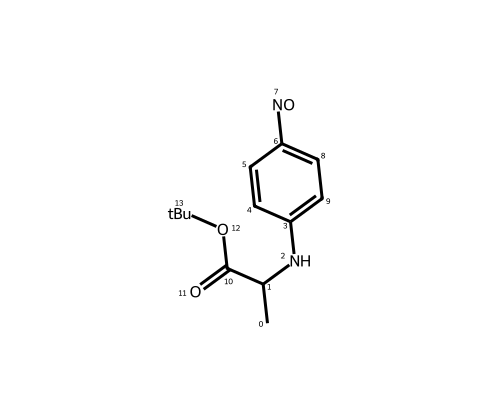 CC(Nc1ccc(N=O)cc1)C(=O)OC(C)(C)C